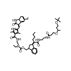 CCCC/C(C(=O)NCCNC(=O)CCOC(C)CCOC(C)(C)C)=C1\CC(COC(=O)N(CC)CCNC(=O)c2c(C)[nH]c(/C=C3\C(=O)NC4CC=C(F)C=C34)c2C)c2ccccc21